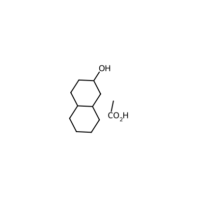 CC(=O)O.OC1CCC2CCCCC2C1